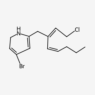 CCC/C=C\C(=C/CCl)CC1=CC(Br)=CCN1